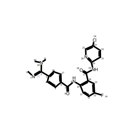 C/N=C(/c1ccc(C(=O)Nc2ccc(F)cc2C(=O)Nc2ccc(Cl)cn2)cc1)N(C)C